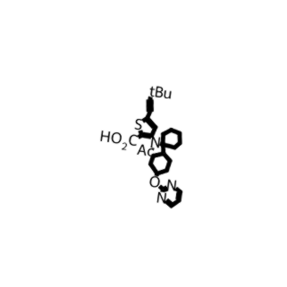 CC(=O)N(c1cc(C#CC(C)(C)C)sc1C(=O)O)C1(C2CCC(Oc3ncccn3)CC2)CCCCC1